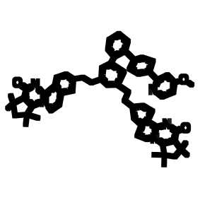 COc1ccnc(-c2ccc(-c3ccccc3-c3cc(CCc4ccc5c(ccn6c7c(c(=O)nc56)C(C)(C)CC7(C)C)c4)cc(CCc4ccc5c(ccn6c7c(c(=O)nc56)C(C)(C)CC7(C)C)c4)c3)cc2)c1